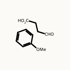 COc1ccccc1.O=CCCC(=O)O